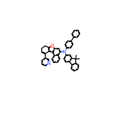 CC1(C)c2ccccc2-c2ccc(N(c3ccc(-c4ccccc4)cc3)c3cc4oc5c(c4c4ccccc34)C(c3cccnc3)=CCC5)cc21